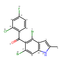 Cc1cc2c(Br)c(C(=O)c3ccc(F)cc3Cl)c(Br)cc2[nH]1